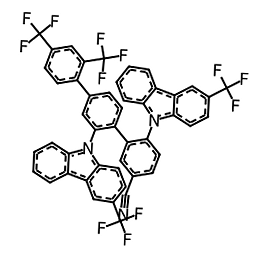 N#Cc1ccc(-n2c3ccccc3c3cc(C(F)(F)F)ccc32)c(-c2ccc(-c3ccc(C(F)(F)F)cc3C(F)(F)F)cc2-n2c3ccccc3c3cc(C(F)(F)F)ccc32)c1